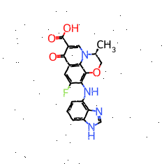 C[C@H]1COc2c(Nc3cccc4[nH]cnc34)c(F)cc3c(=O)c(C(=O)O)cn1c23